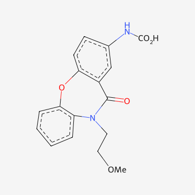 COCCN1C(=O)c2cc(NC(=O)O)ccc2Oc2ccccc21